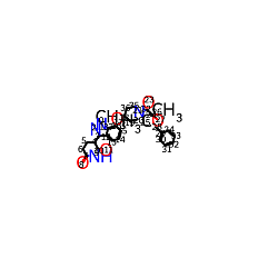 Cn1nc(C2CCC(=O)NC2=O)c2cccc(OC3CCN(C(=O)C(C)(C)OCc4ccccc4)CC3)c21